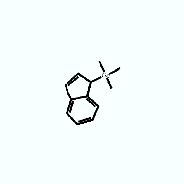 [CH3][Ge]([CH3])([CH3])[CH]1C=Cc2ccccc21